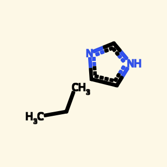 CCC.c1c[nH]cn1